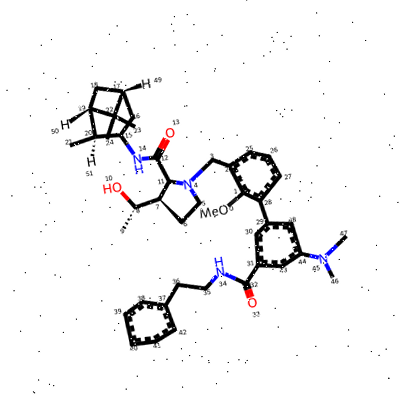 COc1c(CN2CC[C@@H]([C@H](C)O)C2C(=O)NC2C[C@H]3C[C@@H]([C@@H]2C)C3(C)C)cccc1-c1cc(C(=O)NCCc2ccccc2)cc(N(C)C)c1